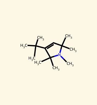 CN1C(C)(C)C=C(C(C)(C)C)C1(C)C